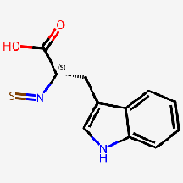 O=C(O)[C@H](Cc1c[nH]c2ccccc12)N=S